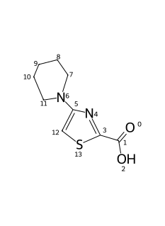 O=C(O)c1nc(N2CCCCC2)cs1